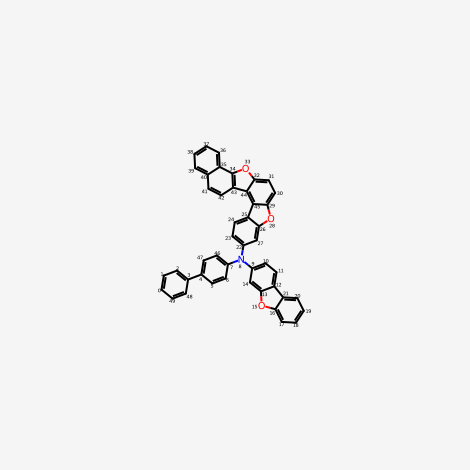 c1ccc(-c2ccc(N(c3ccc4c(c3)oc3ccccc34)c3ccc4c(c3)oc3ccc5oc6c7ccccc7ccc6c5c34)cc2)cc1